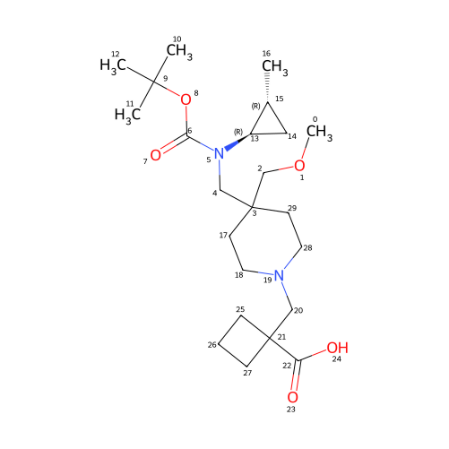 COCC1(CN(C(=O)OC(C)(C)C)[C@@H]2C[C@H]2C)CCN(CC2(C(=O)O)CCC2)CC1